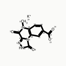 Cn1c(=O)c2n[nH]c(=O)n2c2cc(C(=O)[O-])ccc21.[K+]